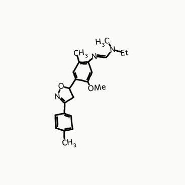 CCN(C)C=Nc1cc(OC)c(C2CC(c3ccc(C)cc3)=NO2)cc1C